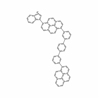 c1cc(-c2ccc(-c3cccc(-c4ccc5ccc6c(-c7csc8ccccc78)ccc7ccc4c5c76)c3)cc2)cc(-c2ccc3ccc4cccc5ccc2c3c45)c1